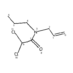 C=CCN(CCC)C(=O)C(Cl)Cl